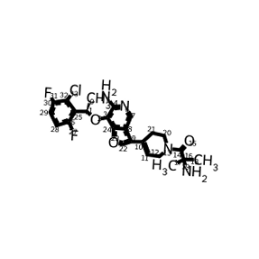 C[C@@H](Oc1c(N)ncc2c(C3=CCN(C(=O)C(C)(C)N)CC3)coc12)c1c(F)ccc(F)c1Cl